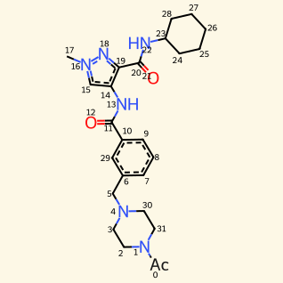 CC(=O)N1CCN(Cc2cccc(C(=O)Nc3cn(C)nc3C(=O)NC3CCCCC3)c2)CC1